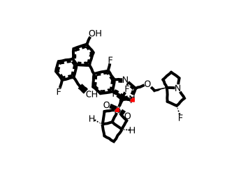 C#Cc1c(F)ccc2cc(O)cc(-c3ccc4c(N5C[C@H]6CC[C@@H](C5)C6S(=O)(=O)C(F)(F)F)nc(OC[C@@]56CCCN5C[C@H](F)C6)nc4c3F)c12